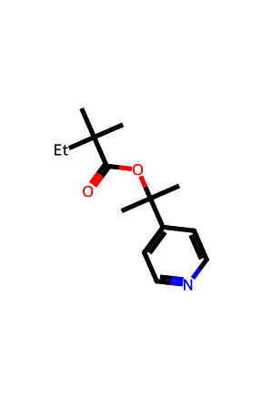 CCC(C)(C)C(=O)OC(C)(C)c1ccncc1